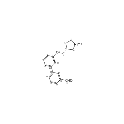 CN1CC[C@@H](COc2cccc(-c3cccc(C=O)c3)n2)C1